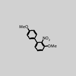 COc1ccc(-c2cccc(OC)c2[N+](=O)[O-])cc1